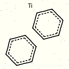 [Ti].c1ccccc1.c1ccccc1